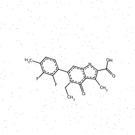 CCn1c(-c2ccc(C)c(F)c2F)cn2nc(C(=O)O)c(C)c2c1=O